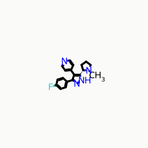 CN1CCC[C@H]1c1[nH]nc(-c2ccc(F)cc2)c1-c1ccncc1